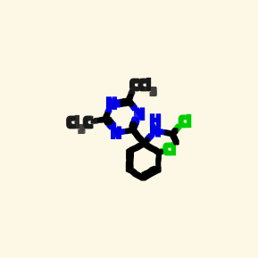 CC(Cl)NC1(c2nc(C(Cl)(Cl)Cl)nc(C(Cl)(Cl)Cl)n2)C=CC=CC1Cl